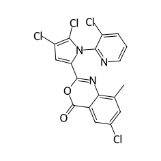 Cc1cc(Cl)cc2c(=O)oc(-c3cc(Cl)c(Cl)n3-c3ncccc3Cl)nc12